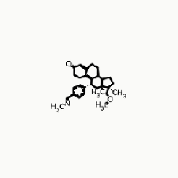 C/N=C/c1ccc([C@H]2C[C@@]3(C)C(CC[C@@]3(C)COC)C3CCC4=CC(=O)CCC4=C32)cc1